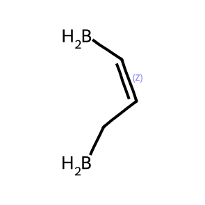 B/C=C\CB